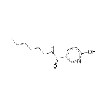 CCCCCCNC(=O)c1ccc(O)nc1